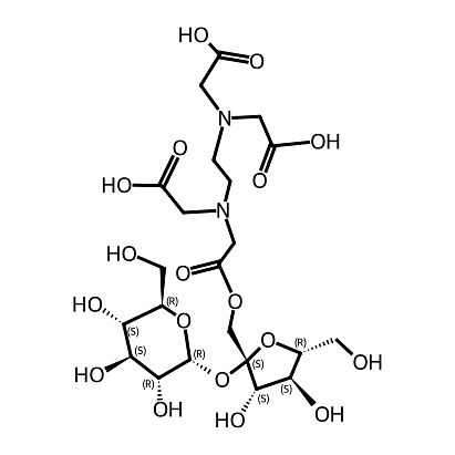 O=C(O)CN(CCN(CC(=O)O)CC(=O)OC[C@@]1(O[C@H]2O[C@H](CO)[C@@H](O)[C@H](O)[C@H]2O)O[C@H](CO)[C@@H](O)[C@@H]1O)CC(=O)O